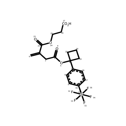 C=C(CC(=O)OC1(c2ccc(S(F)(F)(F)(F)F)cc2)CCC1)C(=O)OCCC(=O)O